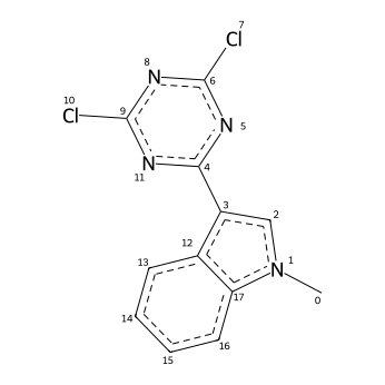 Cn1cc(-c2nc(Cl)nc(Cl)n2)c2ccccc21